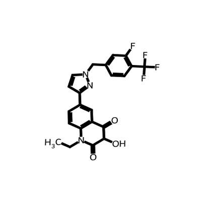 CCN1C(=O)C(O)C(=O)c2cc(-c3ccn(Cc4ccc(C(F)(F)F)c(F)c4)n3)ccc21